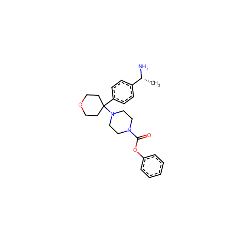 C[C@@H](N)c1ccc(C2(N3CCN(C(=O)Oc4ccccc4)CC3)CCOCC2)cc1